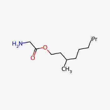 CC(C)CCCC(C)CCOC(=O)CN